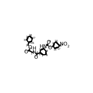 O=C(CNC(=O)c1cccc(NC(=O)Oc2ccc([N+](=O)[O-])cc2)c1)OCc1ccccc1